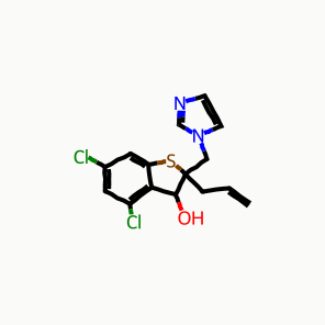 C=CCC1(Cn2ccnc2)Sc2cc(Cl)cc(Cl)c2C1O